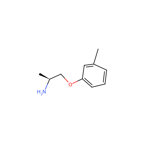 Cc1cccc(OC[C@H](C)N)c1